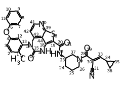 Cc1ccc(Oc2ccccc2)cc1N1C(=O)Nc2c(C(=O)N[C@@H]3CCCN(C(=O)/C(C#N)=C/C4CC4)C3)sc3nccc1c23